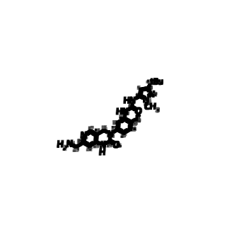 Cn1nc(C(C)(C)C)cc1NC(=O)Nc1cc(N2Cc3cnc(CN)cc3NC2=O)ccc1F